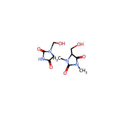 CN1C(=O)C(CO)N(C)C1=O.O=C1CN(CO)C(=O)N1